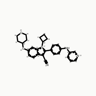 N#Cc1c(-c2ccc(Nc3cccnc3)cc2)n(C2CCC2)c2cc(OC3CCOCC3)ccc12